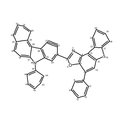 c1c(-c2nc3c(o2)c(-c2ccccc2)cc2sc4ccccc4c23)cc2c(c#1)c1c3ccccc3ccc1n2-c1ccccc1